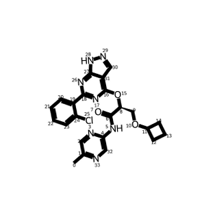 Cc1cnc(NC(=O)[C@H](COC2CCC2)Oc2nc(-c3ccccc3Cl)nc3[nH]ncc23)cn1